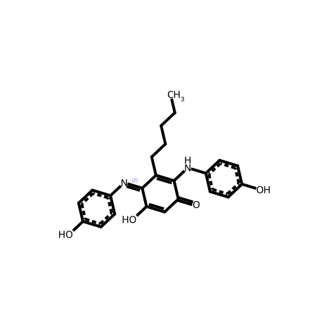 CCCCCC1=C(Nc2ccc(O)cc2)C(=O)C=C(O)/C1=N\c1ccc(O)cc1